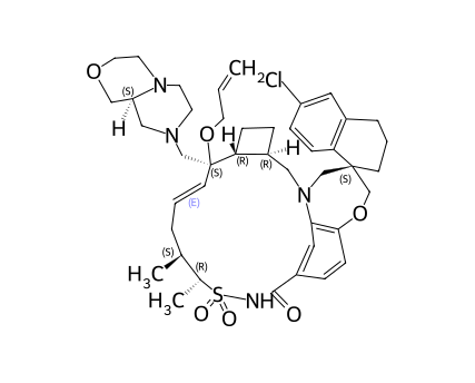 C=CCO[C@]1(CN2CCN3CCOC[C@@H]3C2)/C=C/C[C@H](C)[C@@H](C)S(=O)(=O)NC(=O)c2ccc3c(c2)N(C[C@@H]2CC[C@H]21)C[C@@]1(CCCc2cc(Cl)ccc21)CO3